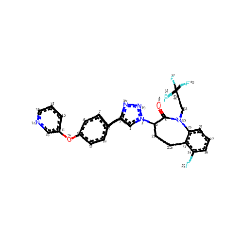 O=C1C(n2cc(-c3ccc(Oc4cccnc4)cc3)nn2)CCc2c(F)cccc2N1CC(F)(F)F